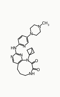 CN1CCN(c2ccc(Nc3ncc4c(n3)N(C35CC(C3)C5)C(=O)C(=O)NCCC4)nc2)CC1